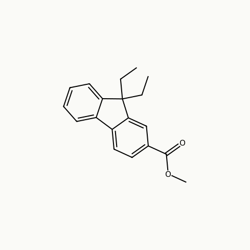 CCC1(CC)c2ccccc2-c2ccc(C(=O)OC)cc21